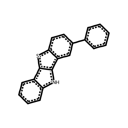 c1ccc(-c2ccc3sc4c5ccccc5[nH]c4c3c2)cc1